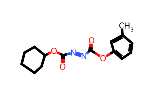 Cc1cccc(OC(=O)/N=N/C(=O)OC2CCCCC2)c1